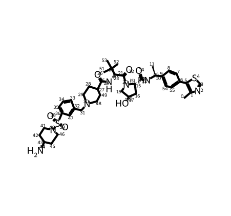 Cc1ncsc1-c1ccc([C@H](C)NC(=O)[C@@H]2C[C@@H](O)CN2C(=O)[C@H](NC(=O)C2CCN(Cc3cccc(S(=O)(=O)N4CCC(N)CC4)c3)CC2)C(C)(C)C)cc1